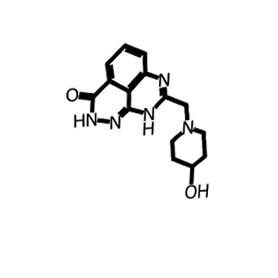 O=c1[nH]nc2c3c(cccc13)N=C(CN1CCC(O)CC1)N2